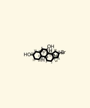 C[C@]12CC[C@H]3[C@@H]([C@@H](O)C=C4C[C@@H](O)CC[C@@]43C)[C@@H]1C[C@@H](Br)C2